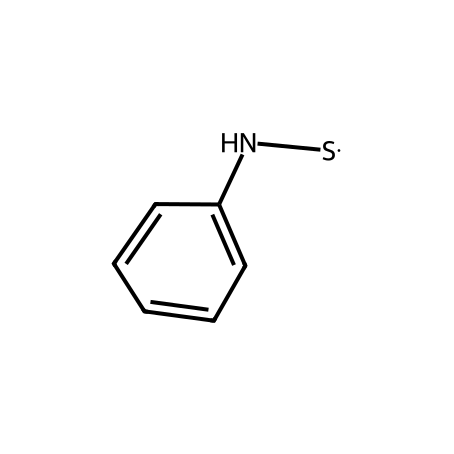 [S]Nc1ccccc1